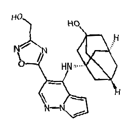 OCc1noc(-c2cnn3cccc3c2N[C@@]23C[C@@H]4C[C@@H](CC(O)(C4)C2)C3)n1